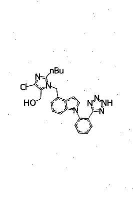 CCCCc1nc(Cl)c(CO)n1Cc1cccc2c1ccn2-c1ccccc1-c1nn[nH]n1